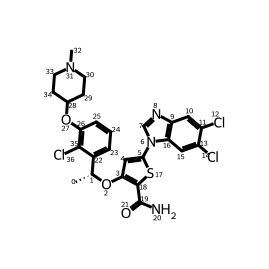 C[C@@H](Oc1cc(-n2cnc3cc(Cl)c(Cl)cc32)sc1C(N)=O)c1cccc(OC2CCN(C)CC2)c1Cl